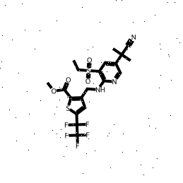 CCS(=O)(=O)c1cc(C(C)(C)C#N)cnc1NCc1cc(C(F)(F)C(F)(F)F)sc1C(=O)OC